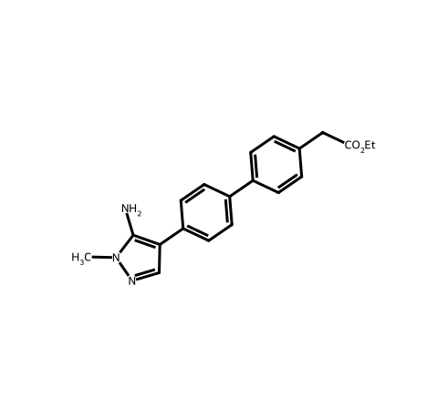 CCOC(=O)Cc1ccc(-c2ccc(-c3cnn(C)c3N)cc2)cc1